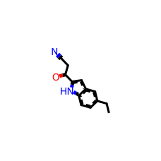 CCc1ccc2[nH]c(C(=O)CC#N)cc2c1